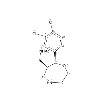 CC(=O)NC[C@@H]1CNCCO[C@@H]1c1ccc(Cl)c(Cl)c1